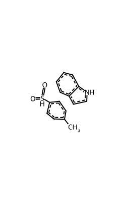 Cc1ccc([SH](=O)=O)cc1.c1ccc2[nH]ccc2c1